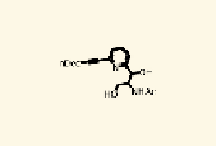 CCCCCCCCCCC#Cc1cccc(C(O)C(CO)NC(C)=O)n1